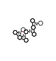 c1cc(-n2c3ccccc3c3cc4c(cc32)c2ccccc2n4C2CCCCC2)cc(-n2c3ccccc3c3ccc4c5ccccc5n(C5CCCCC5)c4c32)c1